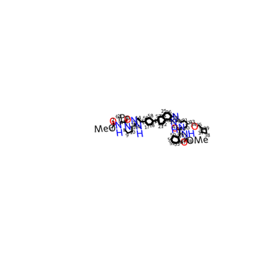 COC(=O)N[C@H](C(=O)N1CCC[C@H]1c1ncc(-c2ccc(-c3ccc4c(ccc5nc([C@@H]6C[C@H](COCC7CCC7)CN6C(=O)[C@H](NC(=O)OC)c6ccccc6)[nH]c54)c3)cc2)[nH]1)C(C)C